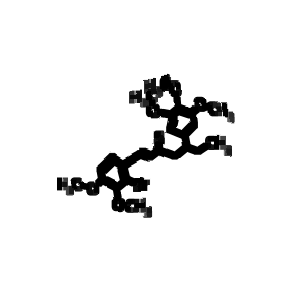 CCC(CC(=S)/C=C/c1ccc(OC)c(OC)c1Br)c1cc(OC)c(OC)c(OC)c1